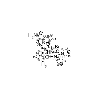 CC(C)(C)[C@H](NC(=O)NC1(CN2CCOCC2)CCOCC1)C(=O)N1C[C@]2(C[C@H]1C(=O)NC(CC1CCC1)C(=O)C(N)=O)C(C)(C)C21CCC1